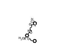 COc1ccc(-c2nc(CCC(=O)c3ncccc3C)co2)cc1OCCc1ccccc1